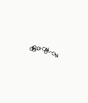 CN(C)c1ccc(/C=C/c2nc3ccc(C(C)(C)OCC(C)(C)OS(C)(=O)=O)cc3o2)cc1